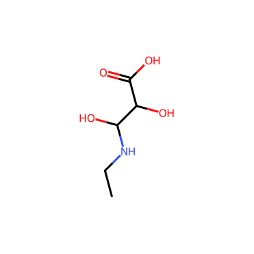 CCNC(O)C(O)C(=O)O